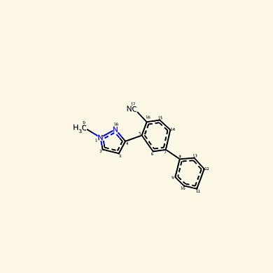 Cn1ccc(-c2cc(-c3ccccc3)ccc2C#N)n1